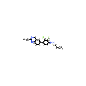 CNc1ncc2cc(-c3ccc(NSCCC(F)(F)F)c(F)c3F)ccc2n1